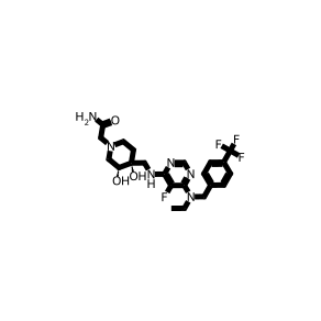 CCN(Cc1ccc(C(F)(F)F)cc1)c1ncnc(NC[C@]2(O)CCN(CC(N)=O)C[C@H]2O)c1F